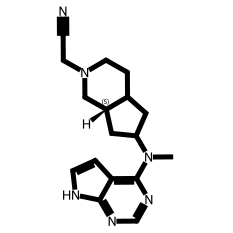 CN(c1ncnc2[nH]ccc12)C1CC2CCN(CC#N)C[C@H]2C1